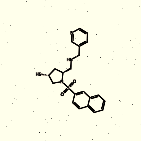 O=S(=O)(c1ccc2ccccc2c1)N1C[C@H](S)C[C@H]1CNCc1cccnc1